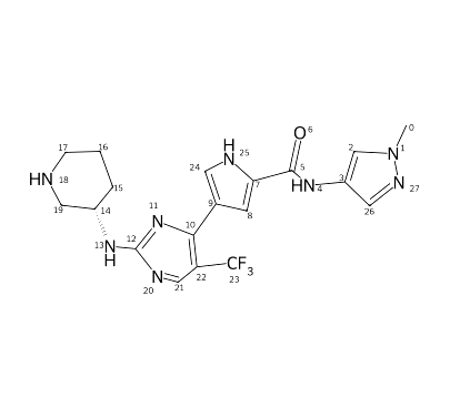 Cn1cc(NC(=O)c2cc(-c3nc(N[C@H]4CCCNC4)ncc3C(F)(F)F)c[nH]2)cn1